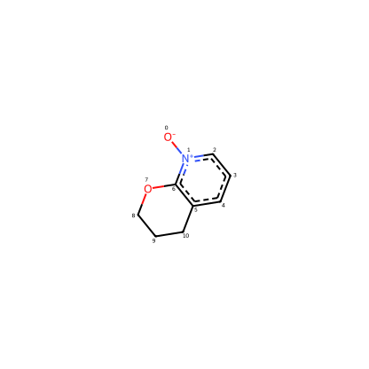 [O-][n+]1cccc2c1OCCC2